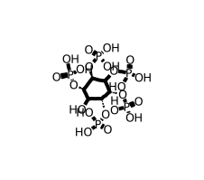 O=P(O)(O)OC1[C@H](OP(=O)(O)O)[C@H](OP(=O)(O)O)C(O)[C@H](OP(=O)(O)O)[C@H]1OP(=O)(O)O